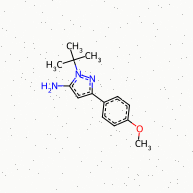 COc1ccc(-c2cc(N)n(C(C)(C)C)n2)cc1